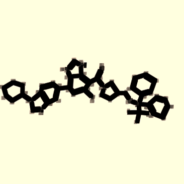 CC(C)(C)[Si](OCC1CCN(C(=O)c2c(F)cc(-c3ccc4c(c3)ncn4C3CCCCC3)c3nc[nH]c23)C1)(c1ccccc1)c1ccccc1